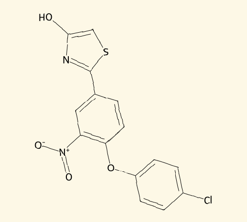 O=[N+]([O-])c1cc(-c2nc(O)cs2)ccc1Oc1ccc(Cl)cc1